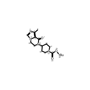 Cc1ncn2c1C(=O)N(C1CCN(C(=O)OC(C)(C)C)CC1)CC2